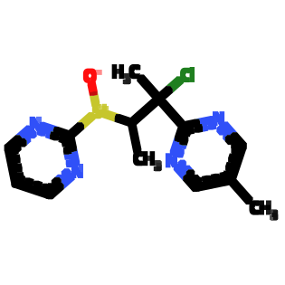 Cc1cnc(C(C)(Cl)C(C)[S+]([O-])c2ncccn2)nc1